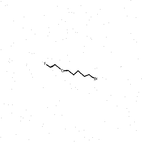 FCCOCCCCCBr